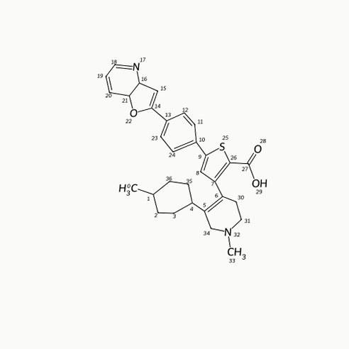 CC1CCC(C2=C(c3cc(-c4ccc(C5=CC6N=CC=CC6O5)cc4)sc3C(=O)O)CCN(C)C2)CC1